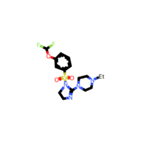 CCN1CCN(C2=NCCN2S(=O)(=O)c2cccc(OC(F)F)c2)CC1